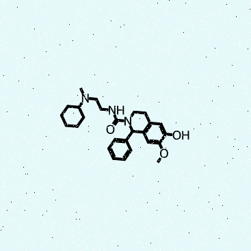 COc1cc2c(cc1O)CCN(C(=O)NCCN(C)C1CCCCC1)C2c1ccccc1